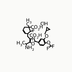 CC(N)c1oc(-c2ccc(OC(F)F)c(OCC3CC3)c2)nc1C[C@@]1(C(=O)O)C=CCC(C)(C(=O)O)C1F.Cl